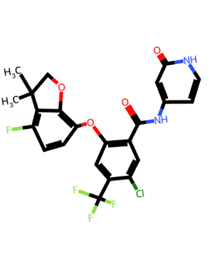 CC1(C)COc2c(Oc3cc(C(F)(F)F)c(Cl)cc3C(=O)Nc3cc[nH]c(=O)c3)ccc(F)c21